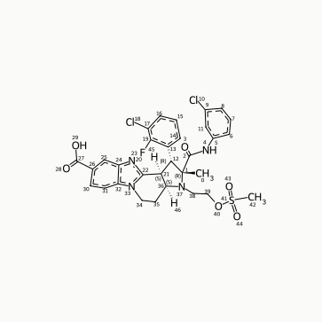 C[C@]1(C(=O)Nc2cccc(Cl)c2)[C@@H](c2cccc(Cl)c2F)[C@@H]2c3nc4cc(C(=O)O)ccc4n3CC[C@@H]2N1CCOS(C)(=O)=O